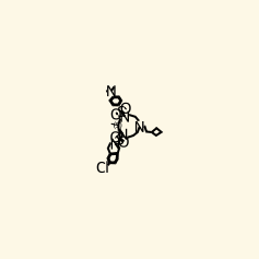 C[C@H]1CN(S(=O)(=O)c2ccc(N(C)C)cc2)CCCN(CCC2CCC2)CCCN(S(=O)(=O)N2CCc3cc(Cl)ccc3C2)C1